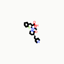 CC(=O)N(C[C@@H](Cc1ccccc1F)C(=O)O)N1CCC[C@@H](CCc2ccncc2)C1=O